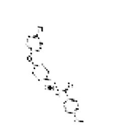 O=C(NC[C@]1(O)CC[C@H](Oc2ccc(Cl)cc2)CC1)c1ccc(O)cc1